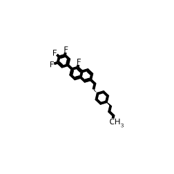 CCCC[C@H]1CC[C@H](CCc2ccc3c(F)c(-c4cc(F)c(F)c(F)c4)ccc3c2)CC1